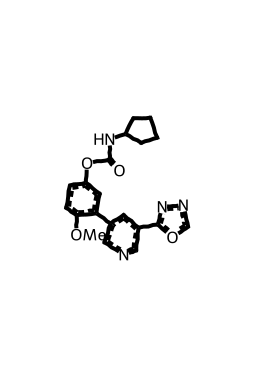 COc1ccc(OC(=O)NC2CCCC2)cc1-c1cncc(-c2nnco2)c1